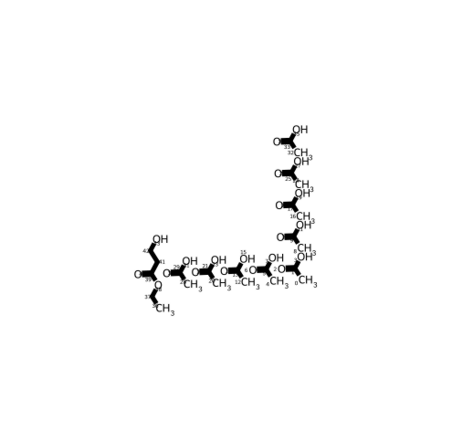 CC(=O)O.CC(=O)O.CC(=O)O.CC(=O)O.CC(=O)O.CC(=O)O.CC(=O)O.CC(=O)O.CC(=O)O.CCOC(=O)CCO